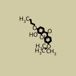 CCCCOc1ccc(C(=O)c2ccc(OC(C)(C)C)cc2)c(O)c1O